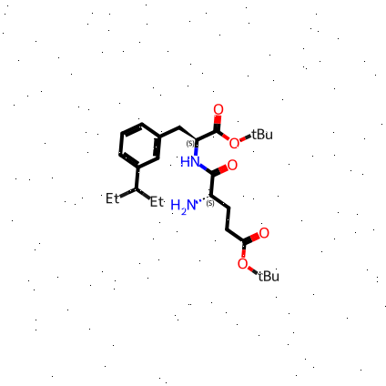 CCC(CC)c1cccc(C[C@H](NC(=O)[C@@H](N)CCC(=O)OC(C)(C)C)C(=O)OC(C)(C)C)c1